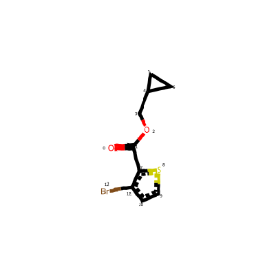 O=C(OCC1CC1)c1sccc1Br